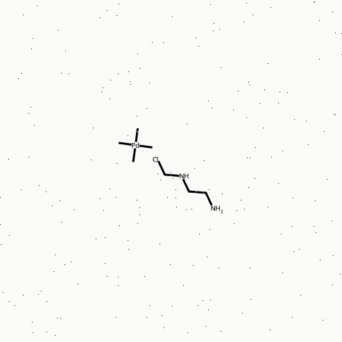 NCCNCCl.[CH3][Pd]([CH3])([CH3])[CH3]